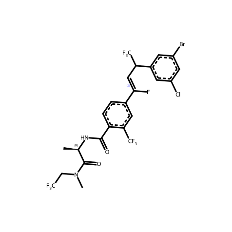 C[C@@H](NC(=O)c1ccc(/C(F)=C/C(c2cc(Cl)cc(Br)c2)C(F)(F)F)cc1C(F)(F)F)C(=O)N(C)CC(F)(F)F